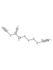 C#CCC(=O)OCCCCC#N